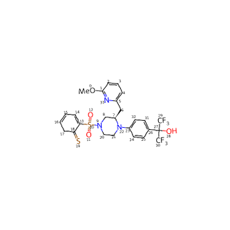 COc1cccc(C[C@@H]2CN(S(=O)(=O)C3=CC=CCC3=S)CCN2c2ccc(C(O)(C(F)(F)F)C(F)(F)F)cc2)n1